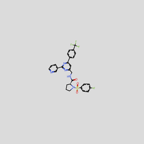 O=C(NCc1cc(-c2ccc(C(F)(F)F)cc2)nc(-c2cccnc2)n1)[C@@H]1CCCN1S(=O)(=O)c1ccc(F)cc1